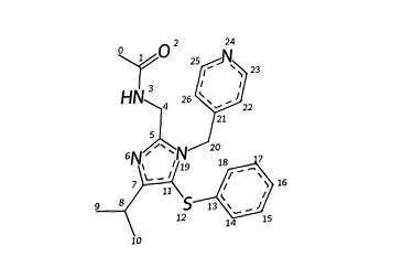 CC(=O)NCc1nc(C(C)C)c(Sc2ccccc2)n1Cc1ccncc1